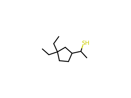 CCC1(CC)CCC(C(C)S)C1